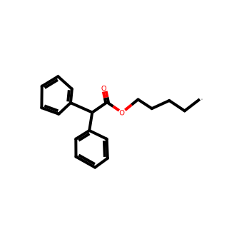 [CH2]CCCCOC(=O)C(c1ccccc1)c1ccccc1